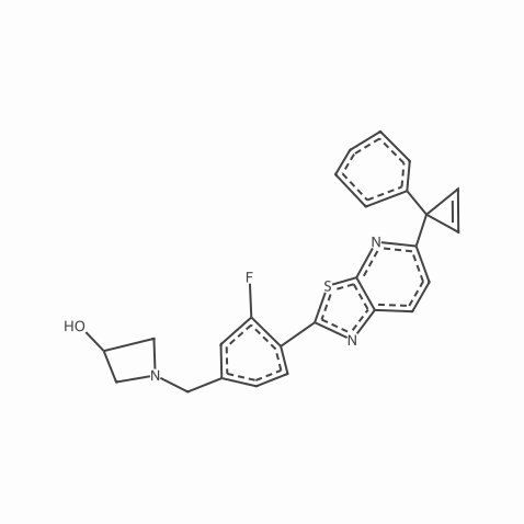 OC1CN(Cc2ccc(-c3nc4ccc(C5(c6ccccc6)C=C5)nc4s3)c(F)c2)C1